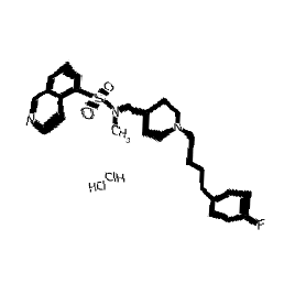 CN(CC1CCN(CCCCc2ccc(F)cc2)CC1)S(=O)(=O)c1cccc2cnccc12.Cl.Cl